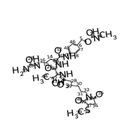 CNC(=O)OCc1ccc(NC(=O)[C@H](CCCNC(N)=O)NC(=O)C(NC(=O)CCCCCN2C(=O)CC(SC)C2=O)C(C)C)cc1